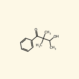 CC(O)C(C)(C)C(=O)c1ccccc1